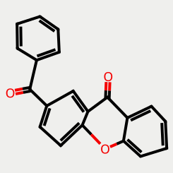 O=C(c1ccccc1)c1ccc2oc3ccccc3c(=O)c2c1